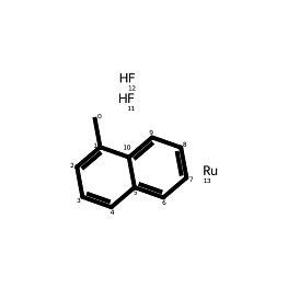 Cc1cccc2ccccc12.F.F.[Ru]